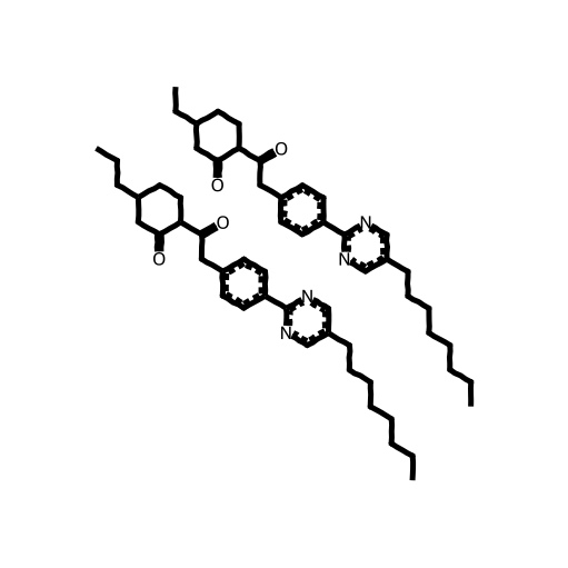 CCCCCCCCc1cnc(-c2ccc(CC(=O)C3CCC(CC)CC3=O)cc2)nc1.CCCCCCCCc1cnc(-c2ccc(CC(=O)C3CCC(CCC)CC3=O)cc2)nc1